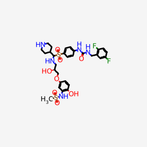 CS(=O)(=O)Nc1cc(OC[C@@H](O)CNC(C2CCNCC2)S(=O)(=O)c2ccc(NC(=O)NCc3cc(F)ccc3F)cc2)ccc1O